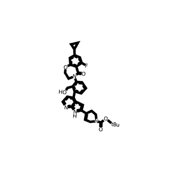 CC(C)(C)OC(=O)N1CC=C(c2cc3c(-c4cccc(N5CCOc6cc(C7CC7)cc(F)c6C5=O)c4CO)ccnc3[nH]2)CC1